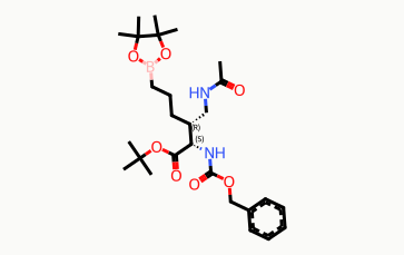 CC(=O)NC[C@@H](CCCB1OC(C)(C)C(C)(C)O1)[C@H](NC(=O)OCc1ccccc1)C(=O)OC(C)(C)C